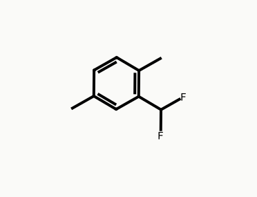 Cc1ccc(C)c(C(F)F)c1